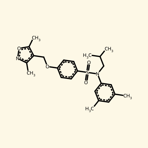 Cc1cc(C)cc(N(CC(C)C)S(=O)(=O)c2ccc(OCc3c(C)noc3C)cc2)c1